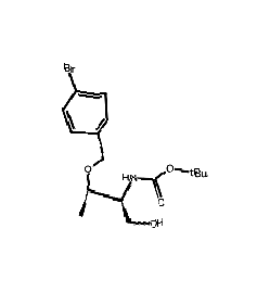 C[C@@H](OCc1ccc(Br)cc1)[C@H](CO)NC(=O)OC(C)(C)C